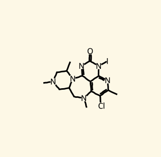 Cc1nc2c3c(nc(=O)n2I)N2C(C)CN(C)CC2CN(C)c3c1Cl